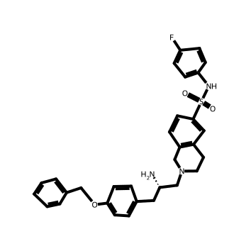 N[C@@H](Cc1ccc(OCc2ccccc2)cc1)CN1CCc2cc(S(=O)(=O)Nc3ccc(F)cc3)ccc2C1